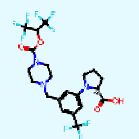 O=C(O)[C@@H]1CCCN1c1cc(CN2CCN(C(=O)OC(C(F)(F)F)C(F)(F)F)CC2)cc(C(F)(F)F)c1